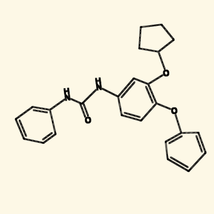 O=C(Nc1ccccc1)Nc1ccc(Oc2ccccc2)c(OC2CCCC2)c1